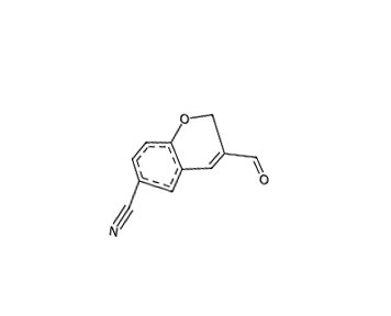 N#Cc1ccc2c(c1)C=C(C=O)CO2